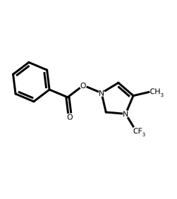 CC1=CN(OC(=O)c2ccccc2)CN1C(F)(F)F